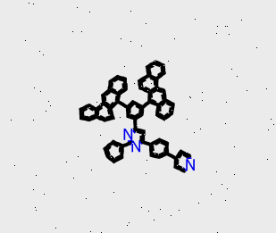 c1ccc(-c2nc(-c3ccc(-c4ccncc4)cc3)cc(-c3cc(-c4c5ccccc5cc5c4ccc4ccccc45)cc(-c4c5ccccc5cc5c4ccc4ccccc45)c3)n2)cc1